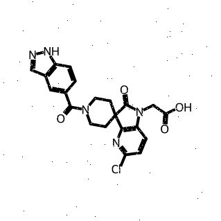 O=C(O)CN1C(=O)C2(CCN(C(=O)c3ccc4[nH]ncc4c3)CC2)c2nc(Cl)ccc21